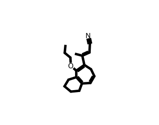 CCCOC1=C(/C(C)=C/C#N)CC=CC2=C1CCCC2